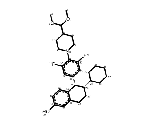 COC(OC)C1CCN(c2c(F)cc([C@H]3c4ccc(O)cc4CC[C@H]3C3CCCCC3)cc2F)CC1